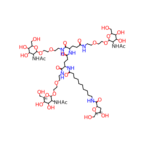 CC(=O)NC1C(OCCOCCNC(=O)CCC(NC(=O)CCC(NC(=O)CCCCCCCCCNC(=O)C2C[C@H](O)[C@@H](CO)O2)C(=O)NCCOCCOC2O[C@H](CO)C(O)C(O)C2NC(C)=O)C(=O)NCCOCCOC2OC(CO)C(O)C(O)C2NC(C)=O)OC(CO)C(O)C1O